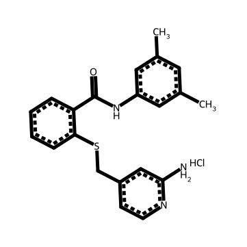 Cc1cc(C)cc(NC(=O)c2ccccc2SCc2ccnc(N)c2)c1.Cl